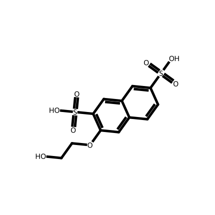 O=S(=O)(O)c1ccc2cc(OCCO)c(S(=O)(=O)O)cc2c1